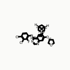 O=C(N1C[C@H]2C[C@@H](C1)[C@H]2Oc1cc2c(Nc3ccc(Cl)c(Cl)c3F)ncnc2cc1O[C@@H]1CCOC1)C(F)(F)F